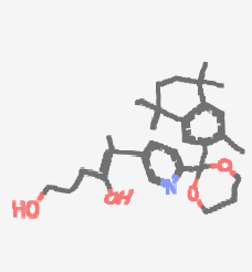 C/C(=C(/O)CCCO)c1ccc(C2(c3cc4c(cc3C)C(C)(C)CCC4(C)C)OCCCO2)nc1